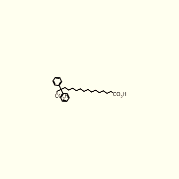 O=C(O)CCCCCCCCCCCCCC(CC(=O)O)(c1ccccc1)c1ccccc1